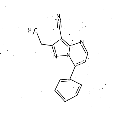 CCc1nn2c(-c3ccccc3)ccnc2c1C#N